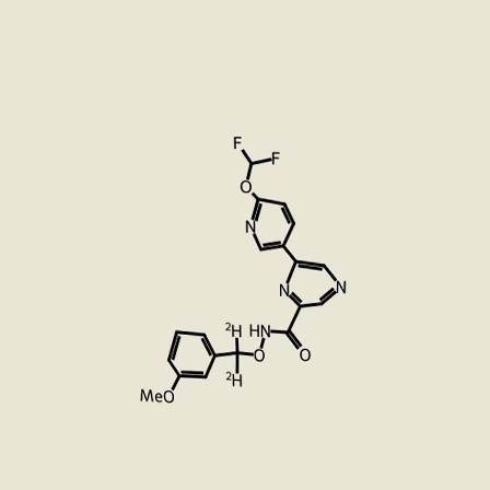 [2H]C([2H])(ONC(=O)c1cncc(-c2ccc(OC(F)F)nc2)n1)c1cccc(OC)c1